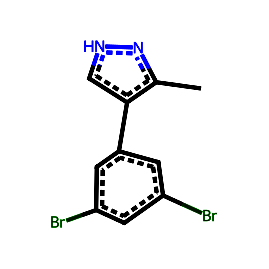 Cc1n[nH]cc1-c1cc(Br)cc(Br)c1